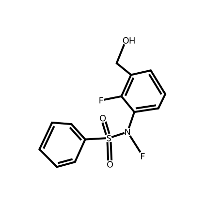 O=S(=O)(c1ccccc1)N(F)c1cccc(CO)c1F